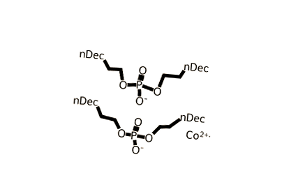 CCCCCCCCCCCCOP(=O)([O-])OCCCCCCCCCCCC.CCCCCCCCCCCCOP(=O)([O-])OCCCCCCCCCCCC.[Co+2]